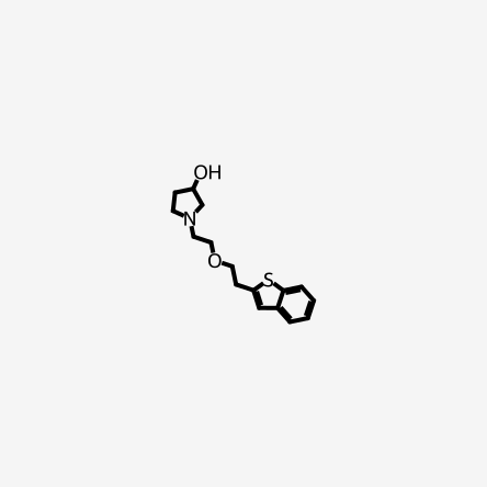 OC1CCN(CCOCCc2cc3ccccc3s2)C1